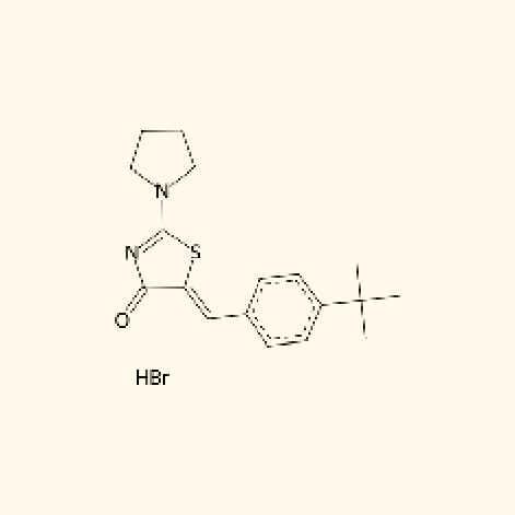 Br.CC(C)(C)c1ccc(/C=C2\SC(N3CCCC3)=NC2=O)cc1